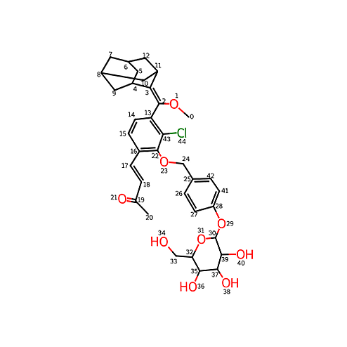 COC(=C1C2CC3CC(C2)CC1C3)c1ccc(/C=C/C(C)=O)c(OCc2ccc(OC3OC(CO)C(O)C(O)C3O)cc2)c1Cl